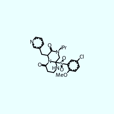 COc1ccc(Cl)cc1S(=O)(=O)C12CN(C(C)C)C(=O)C(Cc3cccnc3)N1C(=O)CCN2